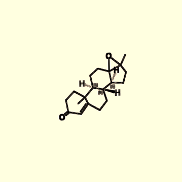 CC12CCC(=O)C=C1CC[C@@H]1[C@@H]2CCC23OC2(C)CC[C@@H]13